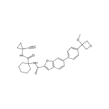 C#CC1(NC(=O)C2(NC(=O)c3cc4ccc(-c5ccc(C6(OC)COC6)cc5)cc4o3)CCCCC2)CC1